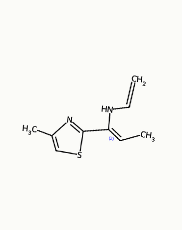 C=CN/C(=C\C)c1nc(C)cs1